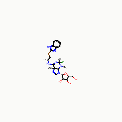 CC(=O)N1C2N([C@@H]3O[C@H](CO)C(O)C3O)C=NC2(C(C)=O)C(N[C@H](C)CSc2nc3ccccc3[nH]2)=NC1(Cl)C(C)=O